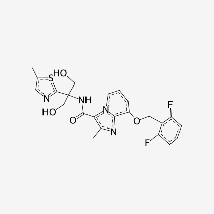 Cc1cnc(C(CO)(CO)NC(=O)c2c(C)nc3c(OCc4c(F)cccc4F)cccn23)s1